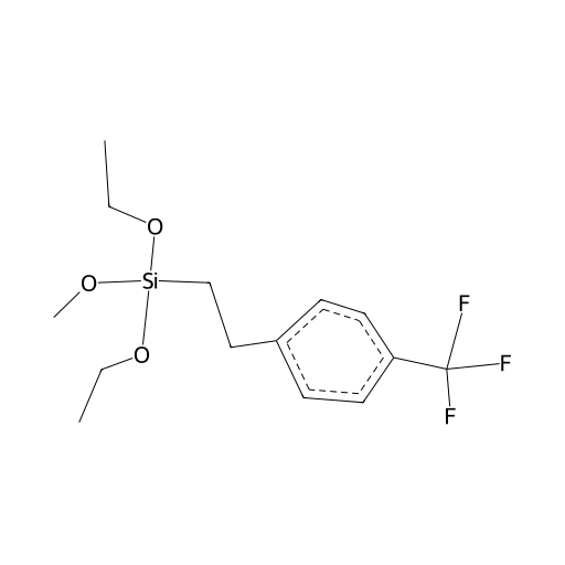 CCO[Si](CCc1ccc(C(F)(F)F)cc1)(OC)OCC